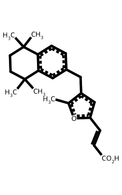 Cc1oc(C=CC(=O)O)cc1Cc1ccc2c(c1)C(C)(C)CCC2(C)C